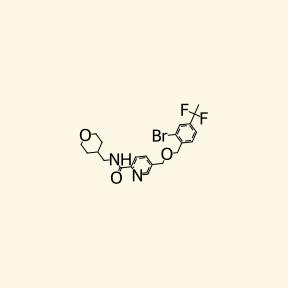 CC(F)(F)c1ccc(COCc2ccc(C(=O)NCC3CCOCC3)nc2)c(Br)c1